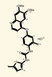 COc1cc2nccc(Oc3ccc(NC(=O)Nc4ncc(C)s4)c(F)c3)c2cc1OC.Cl